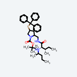 CCCC(C)N[C@H](C(=O)NCC1CC(SC(c2ccccc2)(c2ccccc2)c2ccccc2)CN1C(=O)OC(C)(C)C)[C@@H](C)CC